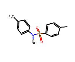 Cc1ccc(S(=O)(=O)N(N=O)c2ccc(C(F)(F)F)cc2)cc1